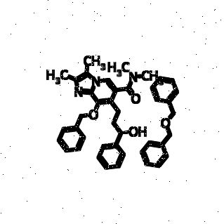 Cc1nc2c(OCc3ccccc3)c(CC[C@@H](O)c3ccccc3)c(C(=O)N(C)C)cn2c1C.c1ccc(COCc2ccccc2)cc1